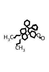 CCCC[C@H]1CC[C@H](C2(CC(c3ccccc3)C3([C@H]4CC[C@H](CCCC)CC4)CCCCC3)CCC(OC=O)CC2)CC1